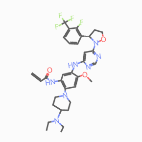 C=CC(=O)Nc1cc(Nc2cc(N3OCC[C@@H]3c3cccc(C(F)(F)F)c3F)ncn2)c(OC)cc1N1CCC(N(CC)CC)CC1